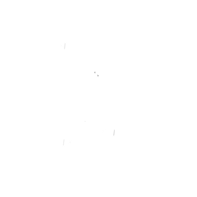 [2H]C1=NCC(C)(C)CO1